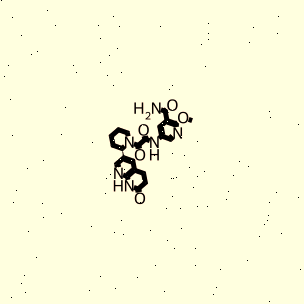 COc1ncc(NC(=O)C(=O)N2CCCC[C@H]2c2cnc3c(c2)CCC(=O)N3)cc1C(N)=O